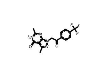 Cc1nc2c(c(C)nn2CC(=O)c2ccc(C(F)(F)F)cc2)c(=O)[nH]1